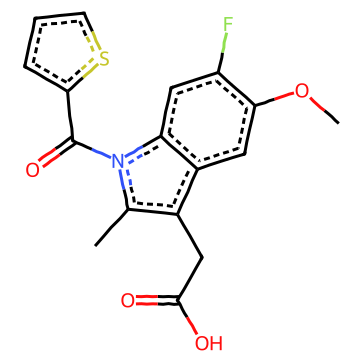 COc1cc2c(CC(=O)O)c(C)n(C(=O)c3cccs3)c2cc1F